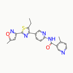 CCc1sc(-c2cc(C)on2)nc1-c1ccc(NC(=O)c2cnccc2C)nc1